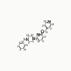 c1ccc(CN2CCN(c3cccc(OCc4ccncc4)n3)CC2)cc1